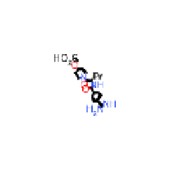 CC(C)[C@H](NC(=O)c1ccc(C(=N)N)cc1)C(=O)N1CCC(OCC(=O)O)CC1